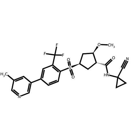 CO[C@@H]1C[C@H](S(=O)(=O)c2ccc(-c3cncc(C)c3)cc2C(F)(F)F)C[C@H]1C(=O)NC1(C#N)CC1